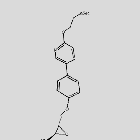 CCCCCCCCCCCCOc1ccc(-c2ccc(OC[C@@H]3O[C@H]3CCCC)cc2)cn1